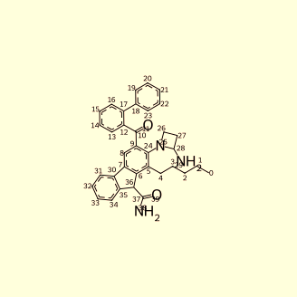 CCCCCc1c2c(cc(C(=O)c3ccccc3-c3ccccc3)c1N1CCC1N)-c1ccccc1C2C(N)=O